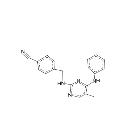 Cc1cnc(NCc2ccc(C#N)cc2)nc1Nc1ccccc1